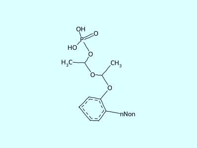 CCCCCCCCCc1ccccc1OC(C)OC(C)OP(=O)(O)O